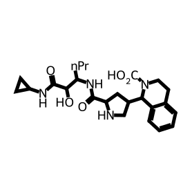 CCCC(NC(=O)C1CC(C2c3ccccc3CCN2C(=O)O)CN1)C(O)C(=O)NC1CC1